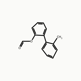 Cc1ccccc1-c1ccccc1OC=O